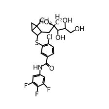 CC(O)(CC1C(Sc2cc(C(=O)Nc3cc(F)c(F)c(F)c3)ccc2Cl)C2CC12C)C(O)C(O)CO